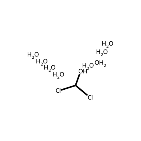 O.O.O.O.O.O.O.O.OC(Cl)Cl